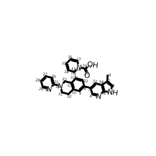 Cc1c[nH]c2ncc(-c3cc4c(c([C@@H]5C=CC=CN5C(=O)O)c3)CN(c3ccccn3)CC4)cc12